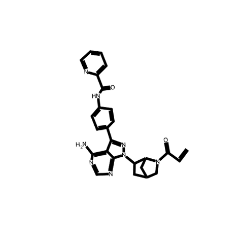 C=CC(=O)N1CC2CC1C(n1nc(-c3ccc(NC(=O)c4ccccn4)cc3)c3c(N)ncnc31)C2